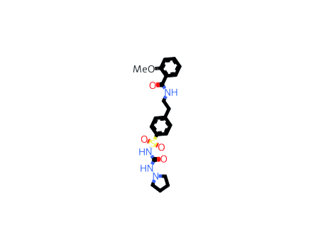 COc1ccccc1C(=O)NCCc1ccc(S(=O)(=O)NC(=O)NN2CCCC2)cc1